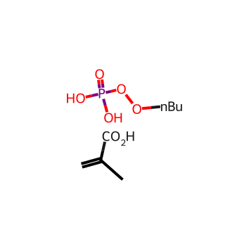 C=C(C)C(=O)O.CCCCOOP(=O)(O)O